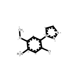 COc1cc(-n2ccnn2)c(Cl)cc1N